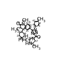 Cc1ccc(-n2nc(C(=O)N3C[C@@H](C)N[C@@H](C)C3)nc2-c2ccc3c(c2)C(C2CCC(F)(F)CC2)[C@H](C)C(=O)N3C)cc1